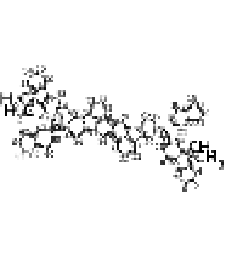 CC1(C)c2ccccc2-c2ccc(N(c3ccc4ccccc4c3)c3ccc4c(c3)c3cccc5c6cc7c8ccc(N(c9ccc%10c(c9)C(C)(C)c9ccccc9-%10)c9ccc%10ccccc%10c9)cc8c8cccc(c6cc4c35)c87)cc21